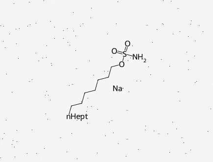 CCCCCCCCCCCCCCOS(N)(=O)=O.[Na]